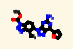 Cc1c(-n2nnc3c(-c4ccco4)nc(N)nc32)ccc2c1nnn2C(=O)OC(C)(C)C